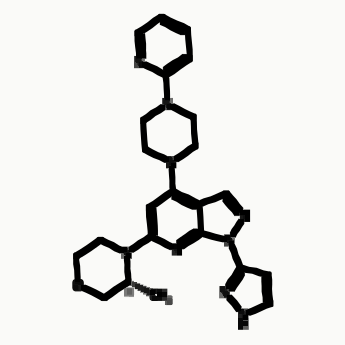 C[C@@H]1COCCN1c1cc(N2CCN(c3ccccn3)CC2)c2cnn(-c3cc[nH]n3)c2n1